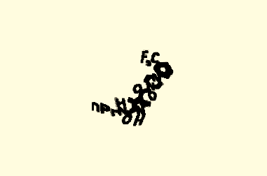 CCCNC(=O)c1[nH]c(C)c(C(=O)C(=O)N2CCN(c3cccc(C(F)(F)F)c3)CC2)c1C